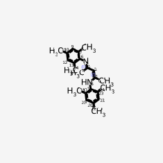 C/C(=C/C(C)=N/c1c(C)cc(C)cc1C)Nc1c(C)cc(C)cc1C